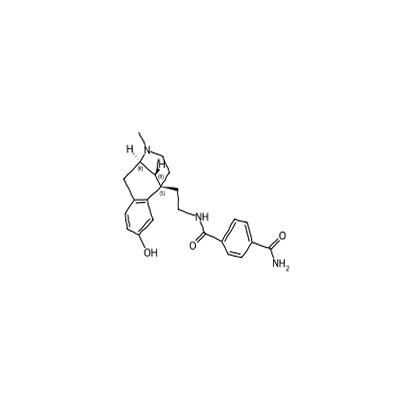 C[C@H]1[C@H]2Cc3ccc(O)cc3[C@@]1(CCNC(=O)c1ccc(C(N)=O)cc1)CCN2C